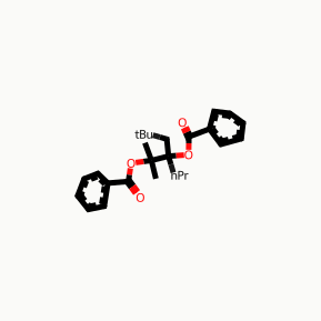 CCCC(CC(C)(C)C)(OC(=O)c1ccccc1)C(C)(C)OC(=O)c1ccccc1